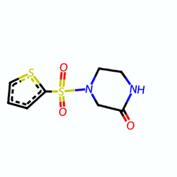 O=C1CN(S(=O)(=O)c2cccs2)CCN1